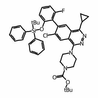 CC(C)(C)OC(=O)N1CCN(c2nnc(C3CC3)c3cc(-c4c(F)cccc4O[Si](c4ccccc4)(c4ccccc4)C(C)(C)C)c(Cl)cc23)CC1